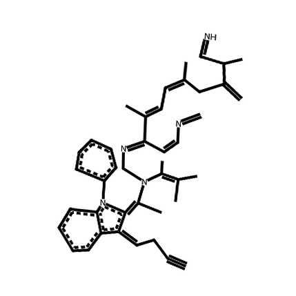 C#CC/C=c1\c(=C(/C)N(C/N=C(\C=C/N=C)C(/C)=C/C=C(/C)CC(=C)C(C)C=N)C(C)=C(C)C)n(-c2ccccc2)c2ccccc12